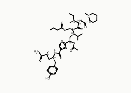 CCCC(=O)OCN(C(=O)[C@@H](NC(=O)[C@H]1CCCCN1C)[C@@H](C)CC)[C@H](C[C@@H](OC(C)=O)c1nc(C(=O)N[C@@H](Cc2ccc(O)cc2)C[C@H](C)C(N)=O)cs1)C(C)C